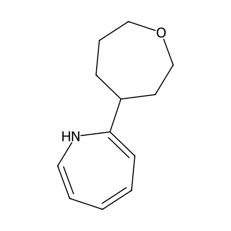 C1=CC=C(C2CCCOCC2)NC=C1